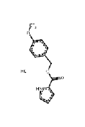 Cl.O=C(OCc1ccc(OC(F)(F)F)cc1)c1ccc[nH]1